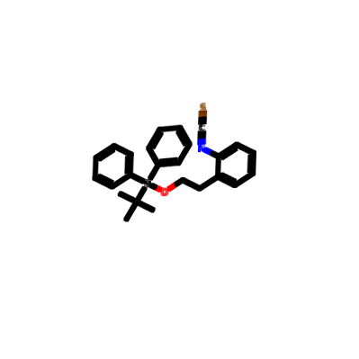 CC(C)(C)[Si](OCCc1ccccc1N=C=S)(c1ccccc1)c1ccccc1